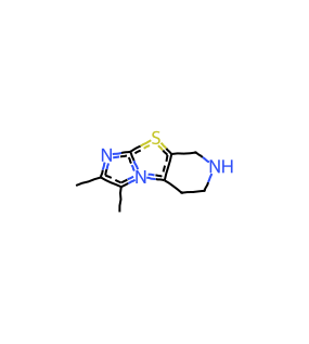 Cc1nc2sc3c(n2c1C)CCNC3